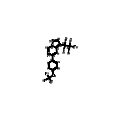 FC(F)(F)Oc1ccc(-c2cc3c(C(F)(F)C(F)(F)F)cnn3cn2)cc1